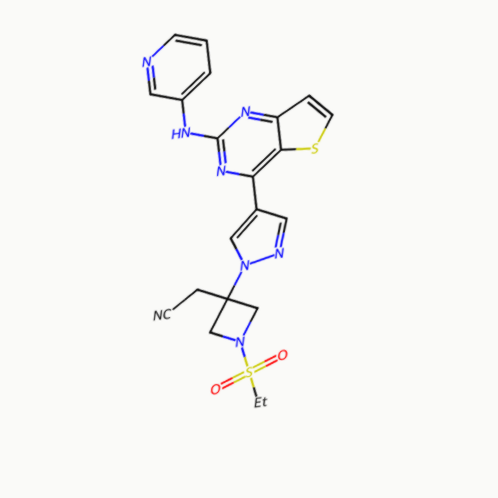 CCS(=O)(=O)N1CC(CC#N)(n2cc(-c3nc(Nc4cccnc4)nc4ccsc34)cn2)C1